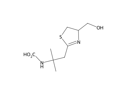 CC(C)(CC1=NC(CO)CS1)NC(=O)O